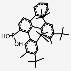 Cc1cc(-c2c(-c3ccccc3)ccc(P(O)O)c2-c2cc(C)c(C(C)(C)C)cc2C(C)(C)C)c(C(C)(C)C)cc1C(C)(C)C